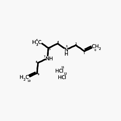 C=CCNCC(C)NCC=C.Cl.Cl